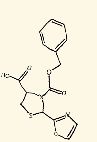 O=C(O)C1CSC(c2ncco2)N1C(=O)OCc1ccccc1